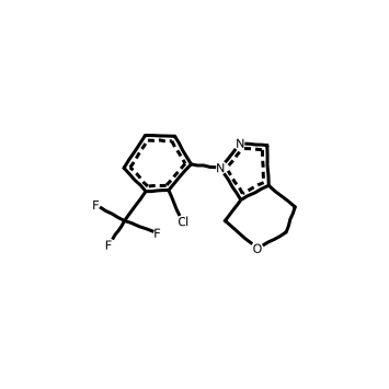 FC(F)(F)c1cccc(-n2ncc3c2COCC3)c1Cl